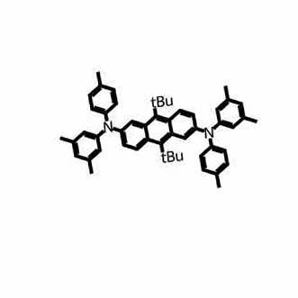 Cc1ccc(N(c2cc(C)cc(C)c2)c2ccc3c(C(C)(C)C)c4cc(N(c5ccc(C)cc5)c5cc(C)cc(C)c5)ccc4c(C(C)(C)C)c3c2)cc1